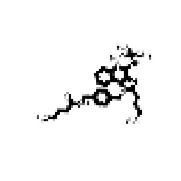 CCCCC(=O)NCc1ccc(Cn2c(CCCC)nc3c(NC(C)(C)C)nc4ccccc4c32)cc1